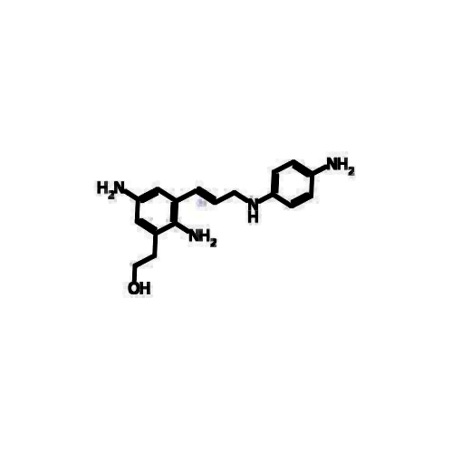 Nc1ccc(NC/C=C/c2cc(N)cc(CCO)c2N)cc1